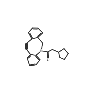 O=C(CC1CCCC1)N1Cc2ccccc2C#Cc2ccccc21